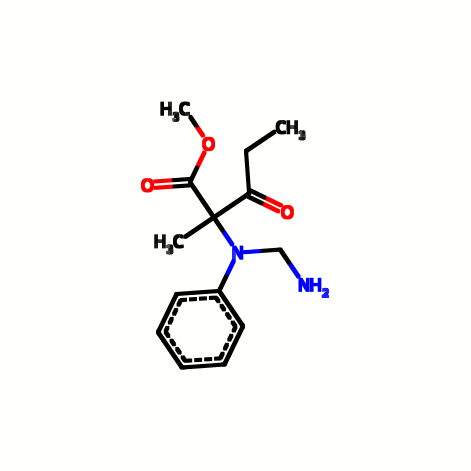 CCC(=O)C(C)(C(=O)OC)N(CN)c1ccccc1